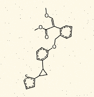 COC=C(C(=O)OC)c1ccccc1COc1cccc(C2CC2c2cccs2)c1